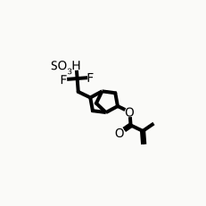 C=C(C)C(=O)OC1CC2CC1CC2CC(F)(F)S(=O)(=O)O